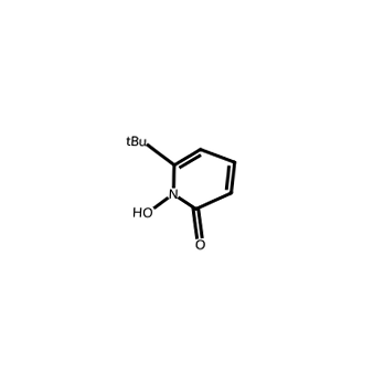 CC(C)(C)c1cccc(=O)n1O